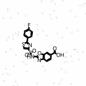 O=C(O)c1ccc2nc(NS(=O)(=O)c3csc(-c4ccc(F)cc4)n3)oc2c1